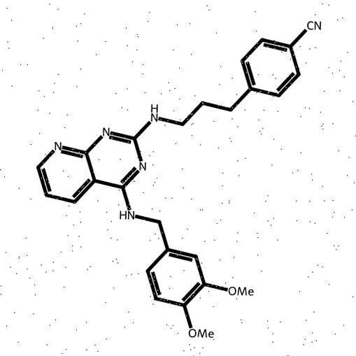 COc1ccc(CNc2nc(NCCCc3ccc(C#N)cc3)nc3ncccc23)cc1OC